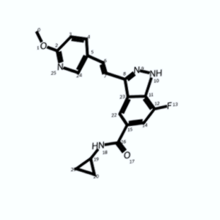 COc1ccc(/C=C/c2n[nH]c3c(F)cc(C(=O)NC4CC4)cc23)cn1